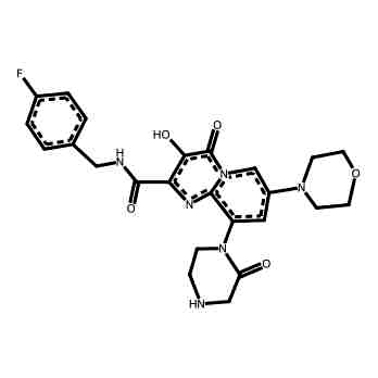 O=C(NCc1ccc(F)cc1)c1nc2c(N3CCNCC3=O)cc(N3CCOCC3)cn2c(=O)c1O